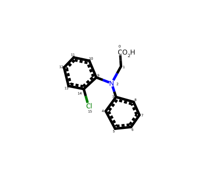 O=C(O)CN(c1ccccc1)c1ccccc1Cl